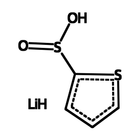 O=S(O)c1cccs1.[LiH]